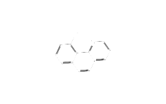 Pc1cccc2ccc3cccnc3c12